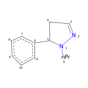 CCCN1N=CCC1c1ccccc1